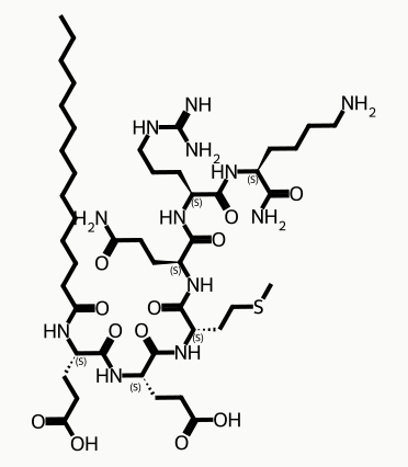 CCCCCCCCCCCCCC(=O)N[C@@H](CCC(=O)O)C(=O)N[C@@H](CCC(=O)O)C(=O)N[C@@H](CCSC)C(=O)N[C@@H](CCC(N)=O)C(=O)N[C@@H](CCCNC(=N)N)C(=O)N[C@@H](CCCCN)C(N)=O